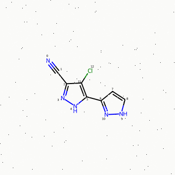 N#Cc1n[nH]c(-c2cc[nH]n2)c1Cl